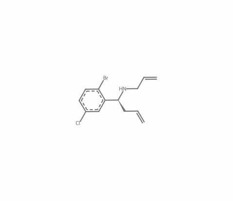 C=CCN[C@@H](CC=C)c1cc(Cl)ccc1Br